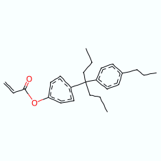 C=CC(=O)Oc1ccc(C(CCC)(CCC)c2ccc(CCC)cc2)cc1